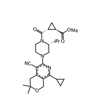 COC(=O)[C@@H]1C[C@H]1C(=O)N1CCN(c2nc(C3CC3)c3c(c2C#N)CC(C)(C)OC3)C[C@H]1C(C)C